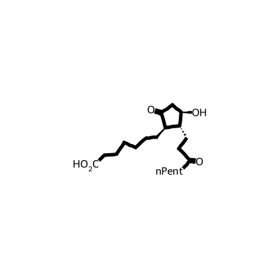 CCCCCC(=O)CC[C@H]1[C@H](O)CC(=O)[C@@H]1CCCCCCC(=O)O